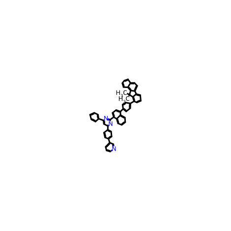 CC1(C)c2c(-c3ccc(-c4ccc(-c5nc(-c6ccccc6)cc(-c6ccc(-c7cccnc7)cc6)n5)c5ccccc45)cc3)cccc2-c2ccc3ccccc3c21